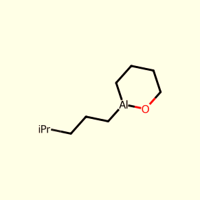 CC(C)CC[CH2][Al]1[CH2]CCC[O]1